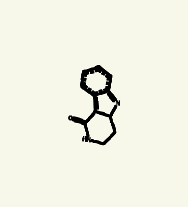 O=C1NCCC2N=c3ccccc3=C12